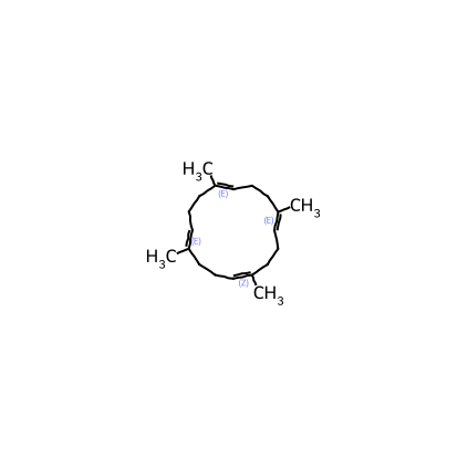 C/C1=C/CC/C(C)=C/CC/C(C)=C/CC/C(C)=C/CC1